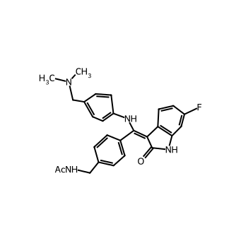 CC(=O)NCc1ccc(C(Nc2ccc(CN(C)C)cc2)=C2C(=O)Nc3cc(F)ccc32)cc1